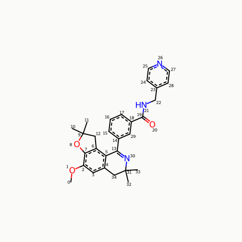 COc1cc2c(c3c1OC(C)(C)C3)C(c1cccc(C(=O)NCc3ccncc3)c1)=NC(C)(C)C2